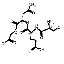 NC(=O)C[C@H](NC(=O)[C@H](CCC(=O)O)NC(=O)[C@@H](N)CO)C(=O)NCC(=O)O